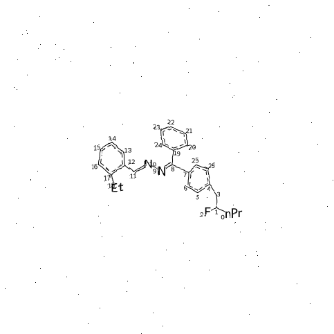 CCCC(F)Cc1ccc(C(=NN=Cc2ccccc2CC)c2ccccc2)cc1